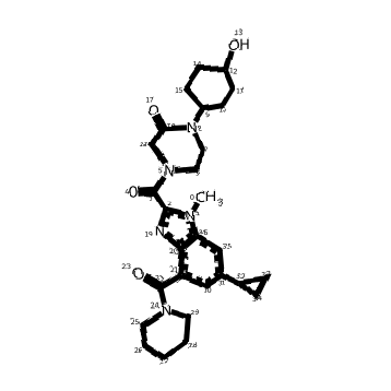 Cn1c(C(=O)N2CCN(C3CCC(O)CC3)C(=O)C2)nc2c(C(=O)N3CCCCC3)cc(C3CC3)cc21